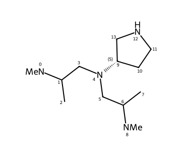 CNC(C)CN(CC(C)NC)[C@H]1CCNC1